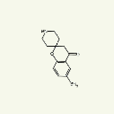 Bc1ccc2c(c1)C(=O)CC1(CCNCC1)O2